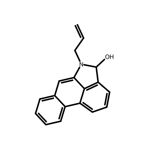 C=CCN1c2cc3ccccc3c3cccc(c23)C1O